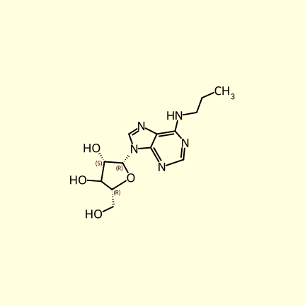 CCCNc1ncnc2c1ncn2[C@@H]1O[C@H](CO)C(O)[C@@H]1O